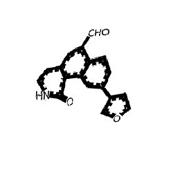 O=Cc1cc2cc[nH]c(=O)c2c2cc(-c3ccoc3)ccc12